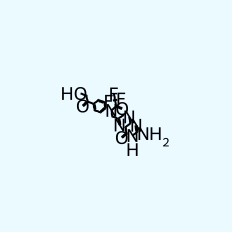 NC1=NC2N=CC(CN(C(=O)C(F)(F)F)c3ccc(C(=O)CO)cc3)=NC2C(=O)N1